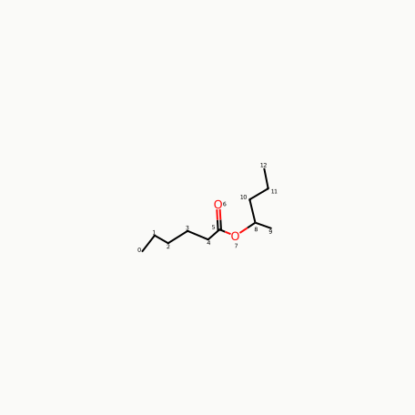 CCCCCC(=O)OC(C)CCC